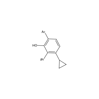 CC(=O)c1ccc(C2CC2)c(C(C)C)c1O